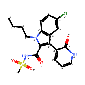 CCCCn1c(C(=O)NS(C)(=O)=O)c(-c2ccc[nH]c2=O)c2cc(Cl)ccc21